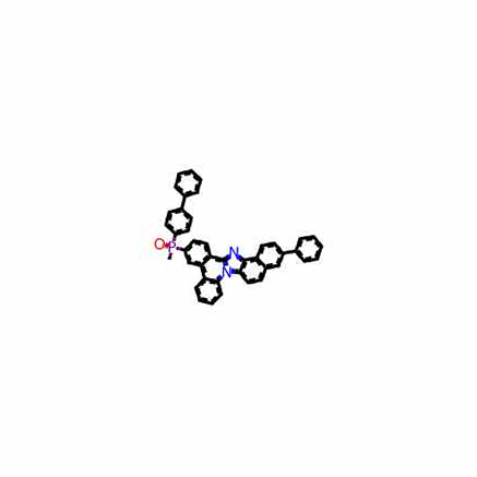 CP(=O)(c1ccc(-c2ccccc2)cc1)c1ccc2c(c1)c1ccccc1n1c3ccc4cc(-c5ccccc5)ccc4c3nc21